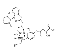 O=C(CC(O)C(=O)O)Oc1ccc2c3c1OC1C(OC(=O)Cc4ccccc4Nc4c(Cl)cccc4Cl)CC[C@@]4(O)[C@@H](C2)N(CC2CC2)CC[C@]314